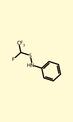 FC(SNc1ccccc1)C(F)(F)F